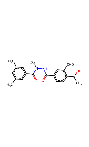 CB(O)c1ccc(C(=O)NN(C(=O)c2cc(C)cc(C)c2)C(C)(C)C)cc1C=O